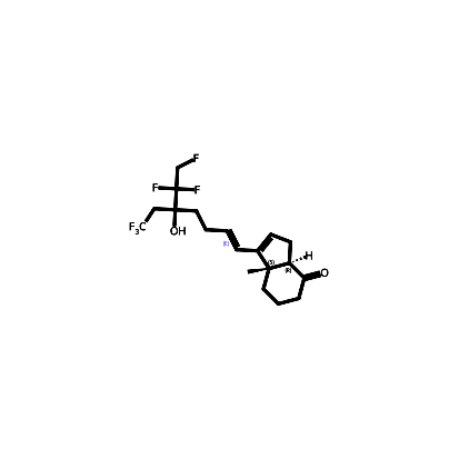 C[C@]12CCCC(=O)[C@@H]1CC=C2/C=C/CCC(O)(CC(F)(F)F)C(F)(F)CF